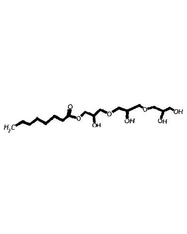 CCCCCCCC(=O)OCC(O)COCC(O)COCC(O)CO